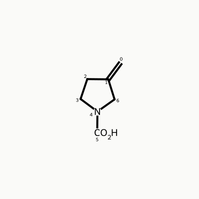 C=C1CCN(C(=O)O)C1